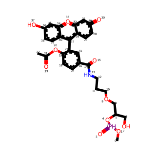 CO[PH](=O)OC(CO)COCCCNC(=O)c1ccc(OC(C)=O)c(-c2c3ccc(=O)cc-3oc3cc(O)ccc23)c1